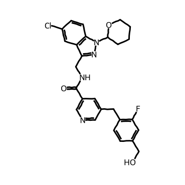 O=C(NCc1nn(C2CCCCO2)c2ccc(Cl)cc12)c1cncc(Cc2ccc(CO)cc2F)c1